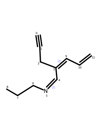 C#CCC(/C=N\CCC)=C/C=C